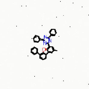 Cc1cc(-c2nc(-c3ccccc3)nc(-c3ccccc3)n2)c2oc3c(-c4ccccc4)cccc3c2c1